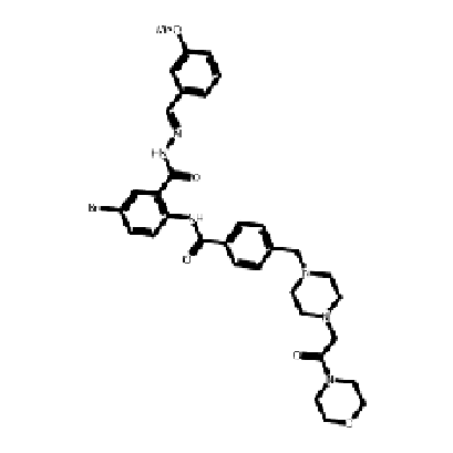 COc1cccc(/C=N/NC(=O)c2cc(Br)ccc2NC(=O)c2ccc(CN3CCN(CC(=O)N4CCOCC4)CC3)cc2)c1